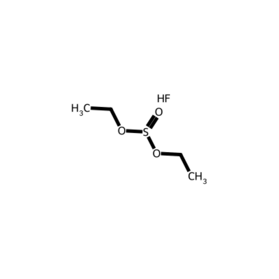 CCOS(=O)OCC.F